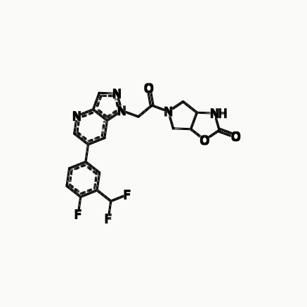 O=C1NC2CN(C(=O)Cn3ncc4ncc(-c5ccc(F)c(C(F)F)c5)cc43)CC2O1